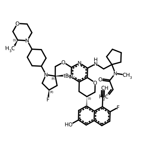 C#Cc1c(F)ccc2cc(O)cc([C@H]3COc4c(nc(OC[C@]5(C(C)(C)C)C[C@@H](F)CN5C5CCC(N6CCOC[C@@H]6C)CC5)nc4NCC4(N(C)C(=O)C=C)CCCC4)C3)c12